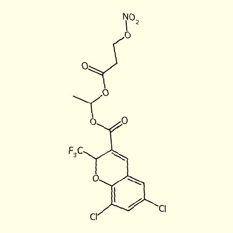 CC(OC(=O)CCO[N+](=O)[O-])OC(=O)C1=Cc2cc(Cl)cc(Cl)c2OC1C(F)(F)F